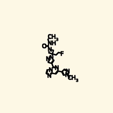 CCNC(=O)N1CC(CCF)(n2cc(-c3nc(-c4cnn(C)c4)cc4nccn34)cn2)C1